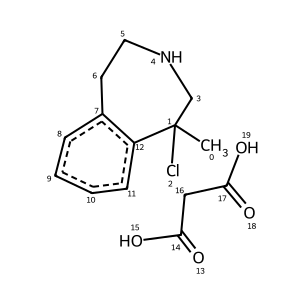 CC1(Cl)CNCCc2ccccc21.O=C(O)CC(=O)O